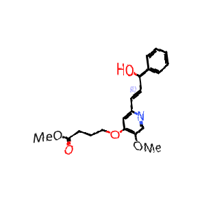 COC(=O)CCCOc1cc(/C=C/C(O)c2ccccc2)ncc1OC